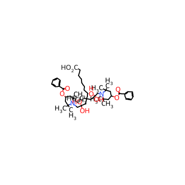 CC1(C)CC(OC(=O)c2ccccc2)CC(C)(C)N1CC(O)(O)CC(CCCCCCCC(=O)O)(CC(O)(O)CN1C(C)(C)CC(OC(=O)c2ccccc2)CC1(C)C)C(=O)O